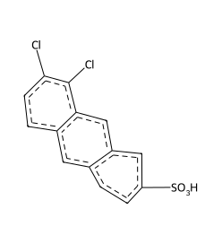 O=S(=O)(O)c1ccc2cc3ccc(Cl)c(Cl)c3cc2c1